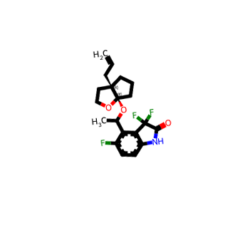 C=CC[C@@]12CCC[C@]1(OC(C)c1c(F)ccc3c1C(F)(F)C(=O)N3)OCC2